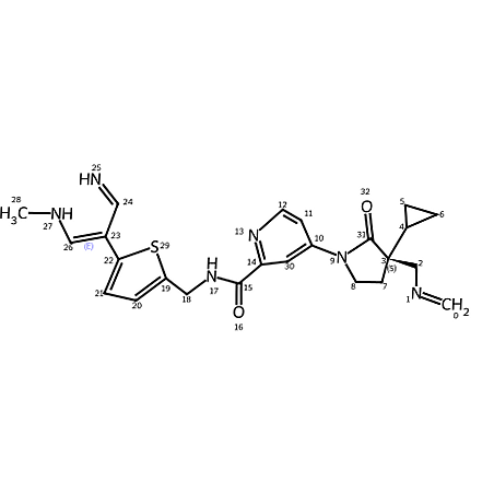 C=NC[C@@]1(C2CC2)CCN(c2ccnc(C(=O)NCc3ccc(/C(C=N)=C/NC)s3)c2)C1=O